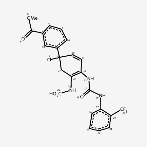 COC(=O)c1cccc(C2(Cl)C=CC(NC(=O)Nc3ccccc3C(F)(F)F)=C(NC(=O)O)C2)c1